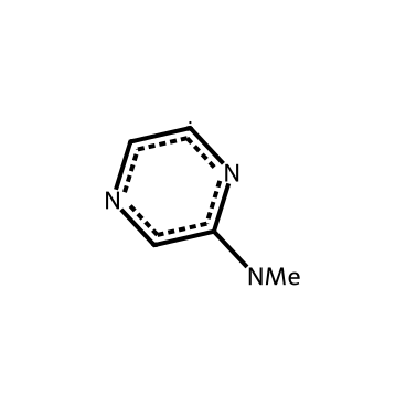 CNc1cnc[c]n1